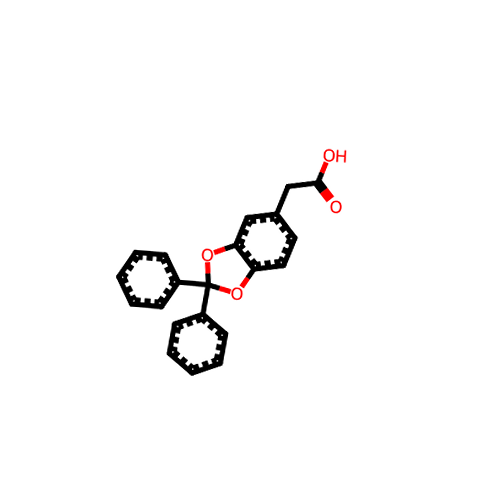 O=C(O)Cc1ccc2c(c1)OC(c1ccccc1)(c1ccccc1)O2